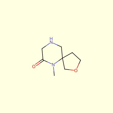 CN1C(=O)CNCC12CCOC2